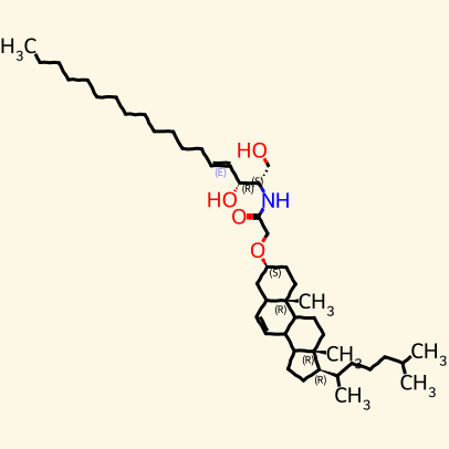 CCCCCCCCCCCCC/C=C/[C@@H](O)[C@H](CO)NC(=O)CO[C@H]1CC[C@@]2(C)C(C=CC3C2CC[C@@]2(C)C3CC[C@@H]2C(C)CCCC(C)C)C1